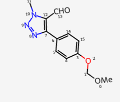 COCOc1ccc(-c2nnn(C)c2C=O)cc1